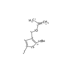 C[SiH](C)OCc1cc(I)sc1C(C)(C)C